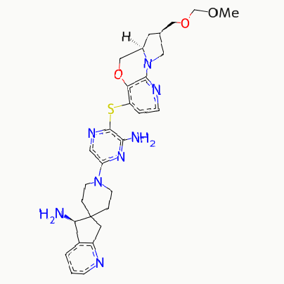 COCOC[C@@H]1C[C@@H]2COc3c(Sc4ncc(N5CCC6(CC5)Cc5ncccc5[C@H]6N)nc4N)ccnc3N2C1